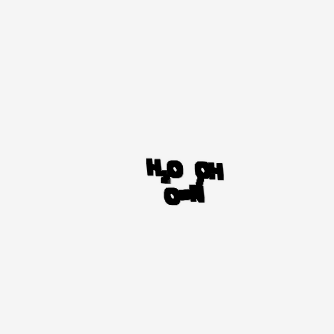 O.O=NO